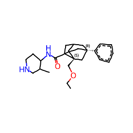 CCOC[C@]12CC3CC1(C(=O)NC1CCNCC1C)C[C@@](c1ccccc1)(C3)C2